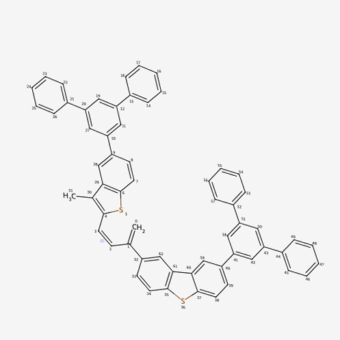 C=C(/C=C\c1sc2ccc(-c3cc(-c4ccccc4)cc(-c4ccccc4)c3)cc2c1C)c1ccc2sc3ccc(-c4cc(-c5ccccc5)cc(-c5ccccc5)c4)cc3c2c1